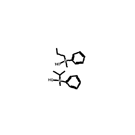 CC(C)[Si](C)(O)c1ccccc1.CCC[Si](C)(O)c1ccccc1